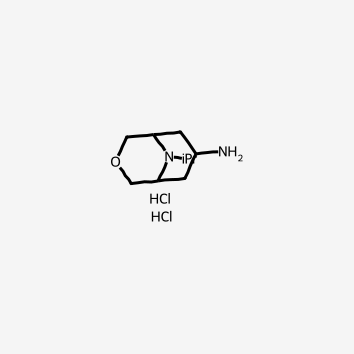 CC(C)N1C2COCC1CC(N)C2.Cl.Cl